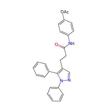 CC(=O)Oc1ccc(NC(=O)CCc2cnn(-c3ccccc3)c2-c2ccccc2)cc1